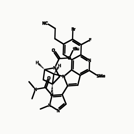 CSc1nc2c(F)c(Br)c(CCC#N)cc2c2c1cc(-c1cnn(C)c1C(=O)N(C)C)n2[C@H]1[C@@H]2C[C@H]1N(C(=O)OC(C)(C)C)C2